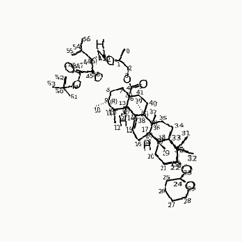 CC(COC(=O)[C@]12CC[C@@H](C)[C@H](C)[C@H]1C1=CC[C@@H]3[C@@]4(C)CC[C@H](OC5CCCCO5)C(C)(C)C4CC[C@@]3(C)[C@]1(C)CC2)ON[C@H](C(=O)C(=O)OC(C)(C)C)C(C)C